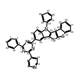 c1ccc(-c2nc(-c3ccncc3)nc(-c3ccc4c(c3)c3sc5sc6ccccc6c5c3n4-c3ccccc3)n2)cc1